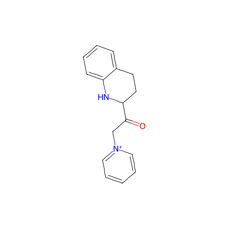 O=C(C[n+]1ccccc1)C1CCc2ccccc2N1